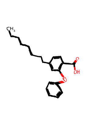 CCCCCCCCc1ccc(C(=O)O)c(Oc2ccccc2)c1